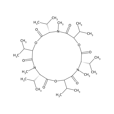 CC(C)C1OC(=O)[C@H](C(C)C)N(C)C(=O)C(C(C)C)OC(=O)[C@H](C(C)C)N(C)C(=O)C(C(C)C)OC(=O)[C@H](C(C)C)N(C)C1=O